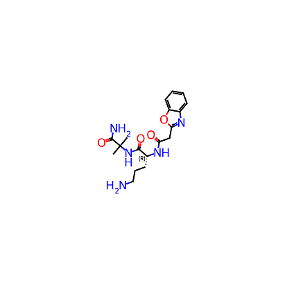 CC(C)(NC(=O)[C@@H](CCCN)NC(=O)Cc1nc2ccccc2o1)C(N)=O